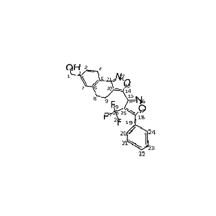 OCc1ccc2c(c1)CCc1c-2noc1-c1noc(-c2ccccc2)c1C(F)(F)F